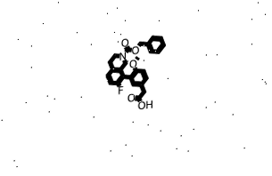 COc1ccc(CC(=O)O)cc1-c1c(F)ccc2c1CN(C(=O)OCc1ccccc1)CC2